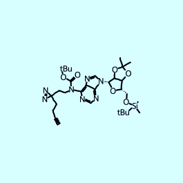 C#CCCC1(CCN(C(=O)OC(C)(C)C)c2ncnc3c2ncn3[C@H]2O[C@@H](CO[Si](C)(C)C(C)(C)C)C3OC(C)(C)OC32)N=N1